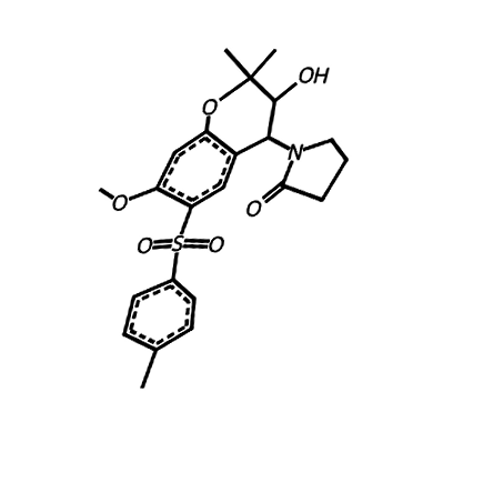 COc1cc2c(cc1S(=O)(=O)c1ccc(C)cc1)C(N1CCCC1=O)C(O)C(C)(C)O2